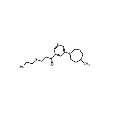 CC(=O)CCSCCC(=O)c1cncc(N2CCCN(C)CC2)c1